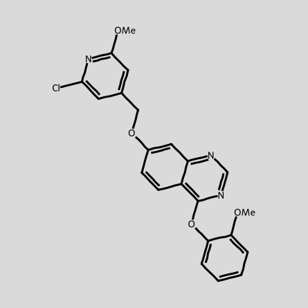 COc1cc(COc2ccc3c(Oc4ccccc4OC)ncnc3c2)cc(Cl)n1